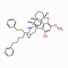 COc1cc(O)c2c3c1O[C@H]1CCC[C@H]4[C@@H](C2)[N+](CC2CC2)(NCC(CCCCc2ccccc2)CCc2ccccc2)CC[C@]314